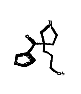 CCCCC1(C(=O)c2ccsc2)CCNC1